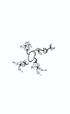 CC(C)(C)OC(=O)CN1CCN(CC(=O)Nc2nc(C(=O)O)co2)CCN(CC(=O)OC(C)(C)C)CCN(CC(=O)OC(C)(C)C)CC1